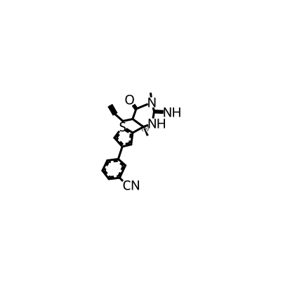 C#CCC1C(=O)N(C)C(=N)N[C@]1(C)c1cc(-c2cccc(C#N)c2)cs1